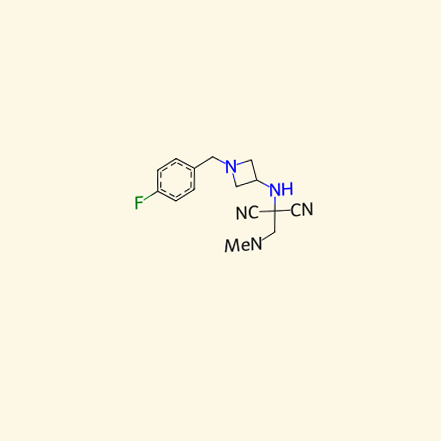 CNCC(C#N)(C#N)NC1CN(Cc2ccc(F)cc2)C1